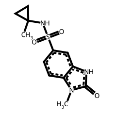 Cn1c(=O)[nH]c2cc(S(=O)(=O)NC3(C)CC3)ccc21